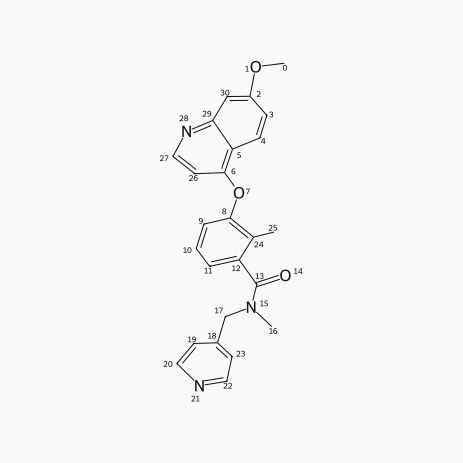 COc1ccc2c(Oc3cccc(C(=O)N(C)Cc4ccncc4)c3C)ccnc2c1